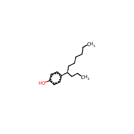 CCCCCCC(CCC)c1ccc(O)cc1